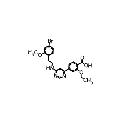 CCOc1cc(-c2cc(NCCc3ccc(Br)cc3OC)ncn2)ccc1C(=O)O